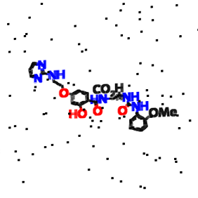 COc1ccccc1NC(=O)N[C@@H](CNC(=O)c1ccc(OCCNc2ncccn2)cc1O)C(=O)O